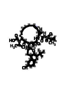 CC(C)N(C(=O)O)[C@H]1CCCCC/C=C\[C@@H]2C[C@@]2(C(=O)NS(=O)(=O)C2(C)CC2)NC(=O)[C@@H]2C[C@]3(CCc4c(c(C(F)(F)F)nc5ccc(Cl)cc45)O3)CN2C1=O